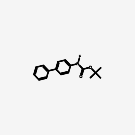 CC(C)(C)OC(=O)N(F)c1ccc(-c2ccccc2)cc1